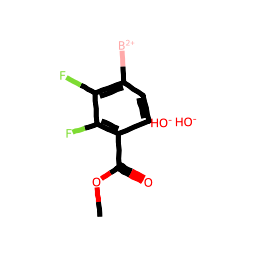 [B+2]c1ccc(C(=O)OC)c(F)c1F.[OH-].[OH-]